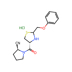 Cl.N#C[C@@H]1CCCN1C(=O)[C@@H]1CSC(COc2ccccc2)N1